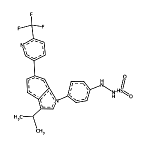 CC(C)c1cn(-c2ccc(NN[SH](=O)=O)cc2)c2cc(-c3ccc(C(F)(F)F)nc3)ccc12